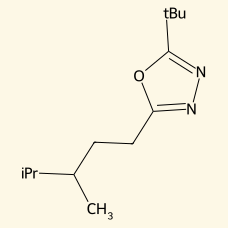 CC(C)C(C)CCc1nnc(C(C)(C)C)o1